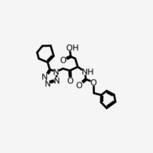 O=C(O)CC(NC(=O)OCc1ccccc1)C(=O)Cn1nnnc1C1=CCCCC1